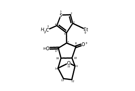 CCc1csc(C)c1C1C(=O)C2C3CCC(O3)C2C1=O